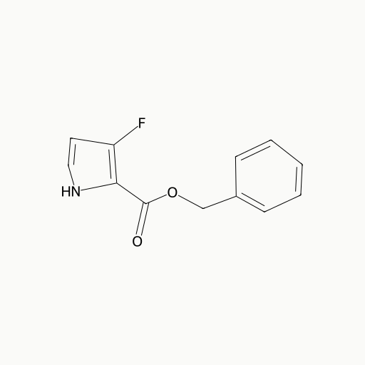 O=C(OCc1ccccc1)c1[nH]ccc1F